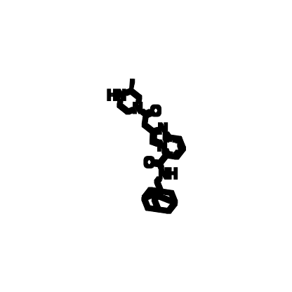 C[C@H]1CN(C(=O)Cc2cn3c(C(=O)NCC45CC6CC(CC(C6)C4)C5)cccc3n2)CCN1